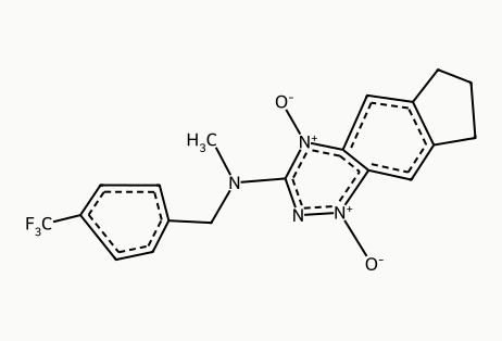 CN(Cc1ccc(C(F)(F)F)cc1)c1n[n+]([O-])c2cc3c(cc2[n+]1[O-])CCC3